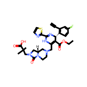 C#Cc1cc(F)ccc1[C@H]1N=C(c2nccs2)NC(CN2CCN3C(=O)N(CC(C)(C)C(=O)O)C[C@@H]3C2)=C1C(=O)OCC